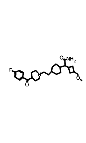 COCC1CC(C(C(N)=O)C2CCC(CCN3CCC(C(=O)c4ccc(F)cc4)CC3)CC2)C1